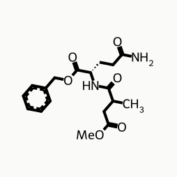 COC(=O)CC(C)C(=O)N[C@@H](CCC(N)=O)C(=O)OCc1ccccc1